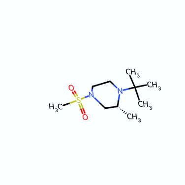 C[C@@H]1CN(S(C)(=O)=O)CCN1C(C)(C)C